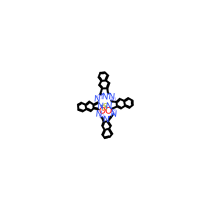 O=S1(=O)n2c3c4cc5ccccc5cc4c2/N=C2N=C(/N=c4/c5cc6ccccc6cc5/c(n41)=N/C1=NC(=N\3)/c3cc4ccccc4cc31)c1cc3ccccc3cc1\2